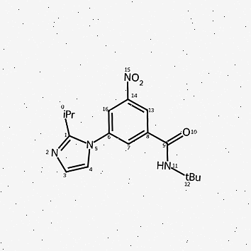 CC(C)c1nccn1-c1cc(C(=O)NC(C)(C)C)cc([N+](=O)[O-])c1